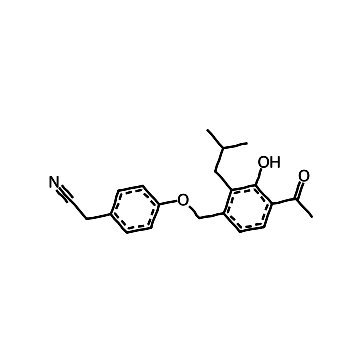 CC(=O)c1ccc(COc2ccc(CC#N)cc2)c(CC(C)C)c1O